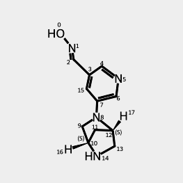 ON=Cc1cncc(N2C[C@@H]3C[C@H]2CN3)c1